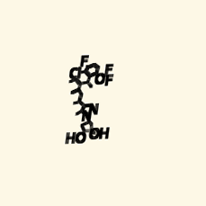 C=C(/C=C(\C)c1cnn(C2C[C@@H](O)[C@@H](O)C2)c1C)/C(=C\C)[C@H](C)c1c(OC(F)F)ccc(F)c1Cl